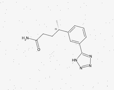 C[C@@H](CCC(N)=O)c1cccc(-c2nnn[nH]2)c1